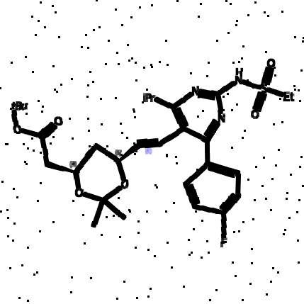 CCS(=O)(=O)Nc1nc(-c2ccc(F)cc2)c(/C=C/[C@@H]2C[C@H](CC(=O)OC(C)(C)C)OC(C)(C)O2)c(C(C)C)n1